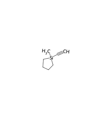 C#C[Si]1(C)CCCC1